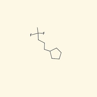 CC(F)(F)CCCC1CCCC1